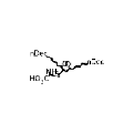 CCCCCCCCCCCCCCCC(=O)CC(CSCC(N)C(=O)O)C(=O)CCCCCCCCCCCCCCC